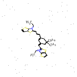 CCN1C(=CC=CC2=C/C(=C/c3sc4ccsc4[n+]3CC)CC(C)(C)C2)SC2C=CSC21